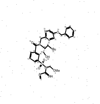 C=NC(=N)N(COC)S(=O)(=O)c1cccc(C(=O)N(Cc2ncc(OCc3ccccc3)cn2)[C@@H](CO)CC(C)(C)C)c1